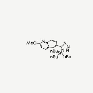 CCC[CH2][Sn]([CH2]CCC)([CH2]CCC)[n]1nnnc1-c1ccc2nc(OC)ccc2c1